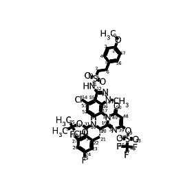 COc1ccc(CCS(=O)(=O)Nc2nn(C)c3c(-n4c([C@H](Cc5cc(F)cc(F)c5)NC(=O)OC(C)(C)C)nc(OS(=O)(=O)C(F)(F)F)cc4=O)ccc(Cl)c23)cc1